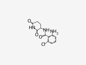 Nc1cccc(Cl)c1C(=O)NC1CCC(=O)NC1=O